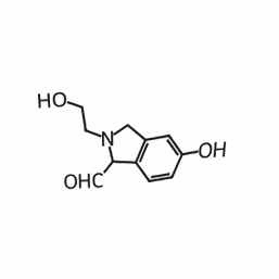 O=CC1c2ccc(O)cc2CN1CCO